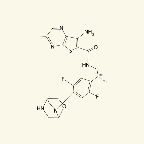 Cc1cnc2c(N)c(C(=O)NC[C@H](C)c3cc(F)c(N4CC5COC(CN5)C4)cc3F)sc2n1